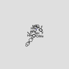 C=CC(=O)Nc1cc(NC(=N)/C=C(\NN)N2OCC[C@@H]2c2ccc(F)cc2F)c(OC)cc1N1CCC(N2CCOCC2)CC1